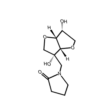 O=C1CCCN1C[C@@]1(O)CO[C@@H]2[C@H](O)CO[C@@H]21